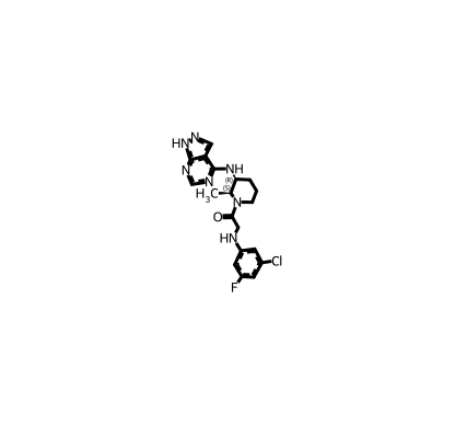 C[C@H]1[C@H](Nc2ncnc3[nH]ncc23)CCCN1C(=O)CNc1cc(F)cc(Cl)c1